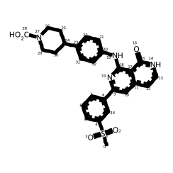 CS(=O)(=O)c1cccc(-c2cc3cc[nH]c(=O)c3c(Nc3ccc(C4CCN(C(=O)O)CC4)cc3)n2)c1